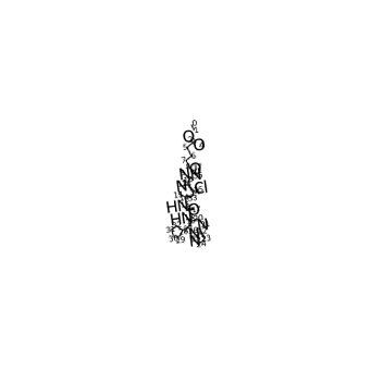 CCOC(=O)CCCc1nc(-c2ncc(NC(=O)Nc3cnc4ccnn4c3C3CCCC3)cc2Cl)no1